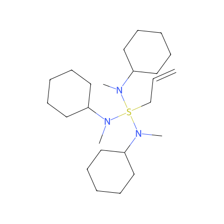 C=CCS(N(C)C1CCCCC1)(N(C)C1CCCCC1)N(C)C1CCCCC1